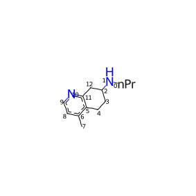 CCCNC1CCc2c(C)ccnc2C1